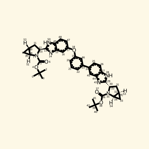 CC(C)(C)OC(=O)N1[C@@H]2C[C@@H]2C[C@H]1c1nc2cc(Oc3cccc(-c4ccc5[nH]c([C@@H]6C[C@H]7C[C@H]7N6C(=O)OC(C)(C)C)nc5c4)c3)ccc2[nH]1